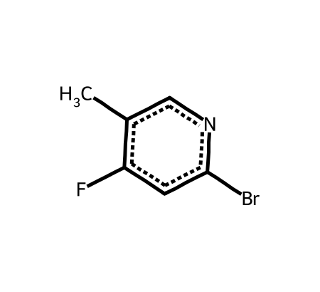 Cc1cnc(Br)cc1F